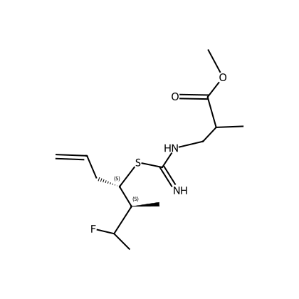 C=CC[C@H](SC(=N)NCC(C)C(=O)OC)[C@@H](C)C(C)F